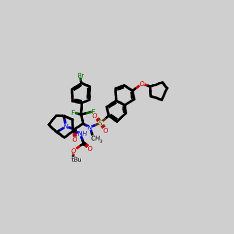 CN(C(C(=O)N1C2CCC1CC(NC(=O)OC(C)(C)C)C2)C(F)(F)c1ccc(Br)cc1)S(=O)(=O)c1ccc2cc(OC3CCCC3)ccc2c1